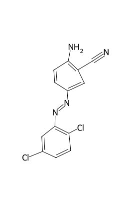 N#Cc1cc(/N=N/c2cc(Cl)ccc2Cl)ccc1N